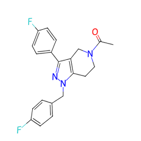 CC(=O)N1CCc2c(c(-c3ccc(F)cc3)nn2Cc2ccc(F)cc2)C1